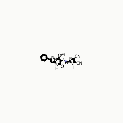 CCOc1c(/N=N/c2nc(C#N)c(C#N)[nH]2)c(=O)[nH]c2cc(-c3ccccc3)nn12